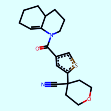 N#CC1(c2cc(C(=O)N3CCCC4CCCC=C43)cs2)CCOCC1